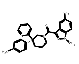 Cc1ccc([C@@]2(c3ccccn3)CCCN(C(=O)c3nn(C)c4ccc(C)cc34)C2)cc1